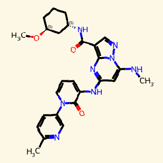 CNc1cc(Nc2cccn(-c3ccc(C)nc3)c2=O)nc2c(C(=O)N[C@H]3CCC[C@H](OC)C3)cnn12